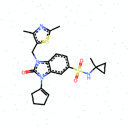 Cc1nc(C)c(Cn2c(=O)n(C3=CCCC3)c3cc(S(=O)(=O)NC4(C)CC4)ccc32)s1